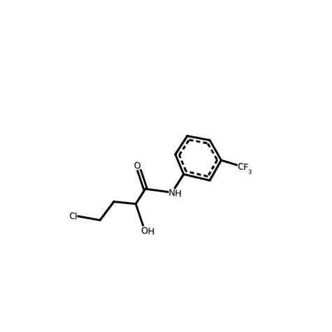 O=C(Nc1cccc(C(F)(F)F)c1)C(O)CCCl